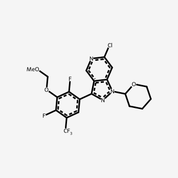 COCOc1c(F)c(-c2nn(C3CCCCO3)c3cc(Cl)ncc23)cc(C(F)(F)F)c1F